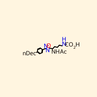 CCCCCCCCCCc1ccc(-c2noc(C(CCCCNC(=O)O)NC(C)=O)n2)cc1